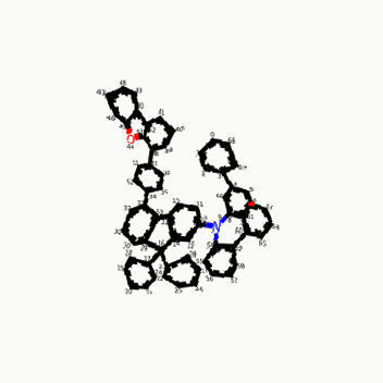 c1ccc(-c2cccc(N(c3ccc4c(c3)C(c3ccccc3)(c3ccccc3)c3cccc(-c5ccc(-c6cccc7c6oc6ccccc67)cc5)c3-4)c3ccccc3-c3ccccc3)c2)cc1